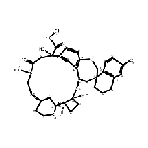 COC(=O)[C@@]1(O)CC(=O)N(C)CC[C@H]2CCO[C@@H](C2)[C@@H]2CC[C@H]2CN2C[C@@]3(CCCc4cc(Cl)ccc43)COc3ccc1cc32